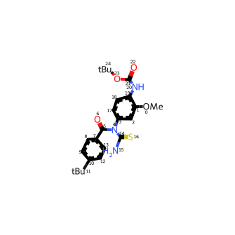 COc1cc(N(C(=O)c2ccc(C(C)(C)C)cc2)C(N)=S)ccc1NC(=O)OC(C)(C)C